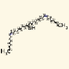 CCCCCCCC/C=C\CCCCCCCCC(O)CCCCCCCC/C=C\CCCCCCCC